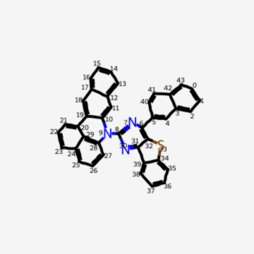 c1ccc2cc(-c3nc(N4c5cc6ccccc6cc5-c5cccc6cccc4c56)nc4c3sc3ccccc34)ccc2c1